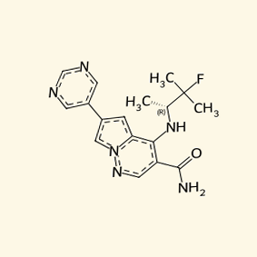 C[C@@H](Nc1c(C(N)=O)cnn2cc(-c3cncnc3)cc12)C(C)(C)F